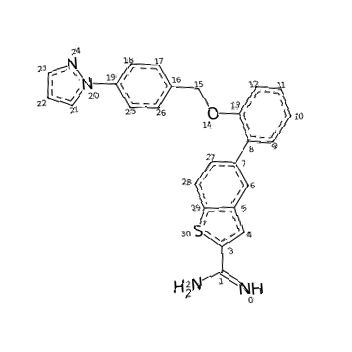 N=C(N)c1cc2cc(-c3ccccc3OCc3ccc(-n4cccn4)cc3)ccc2s1